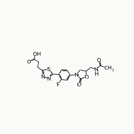 CC(=O)NCC1CN(c2ccc(-c3nnc(CCC(=O)O)s3)c(F)c2)C(=O)O1